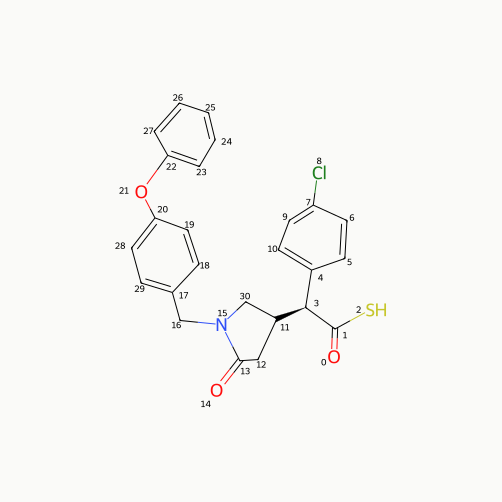 O=C(S)[C@H](c1ccc(Cl)cc1)C1CC(=O)N(Cc2ccc(Oc3ccccc3)cc2)C1